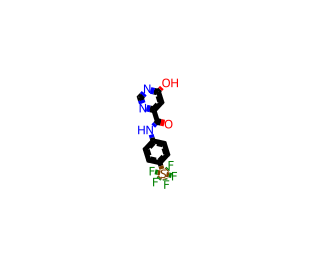 O=C(Nc1ccc(S(F)(F)(F)(F)F)cc1)c1cc(O)ncn1